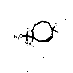 CC(C)(C)C1(C)CC#CC(F)(F)CCCC1